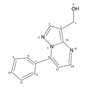 OCc1cnn2c(-c3ccccc3)ccnc12